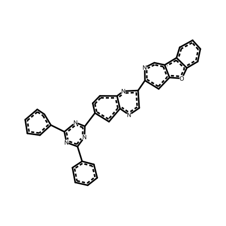 c1ccc(-c2nc(-c3ccccc3)nc(-c3ccc4nc(-c5cc6oc7ccccc7c6cn5)cnc4c3)n2)cc1